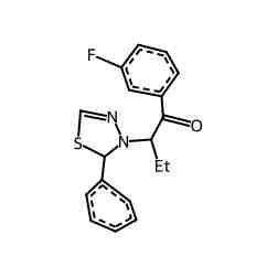 CCC(C(=O)c1cccc(F)c1)N1N=CSC1c1ccccc1